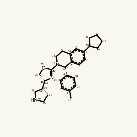 Fc1ccc([C@H]2c3ccc(C4CCCC4)cc3CCN2C2=N[C@H]([C@@H]3CCNC3)CO2)cc1